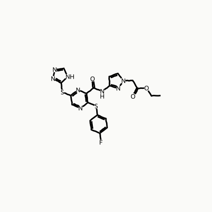 CCOC(=O)Cn1ccc(NC(=O)c2nc(Sc3nnc[nH]3)cnc2Sc2ccc(F)cc2)n1